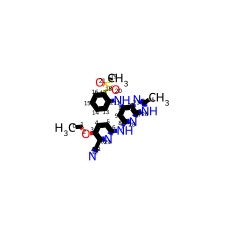 CCOc1ccc(Nc2cc(Nc3ccccc3S(C)(=O)=O)c3nc(C)[nH]c3n2)nc1C#N